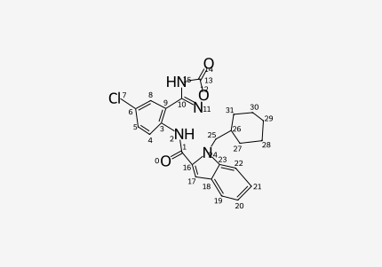 O=C(Nc1ccc(Cl)cc1-c1noc(=O)[nH]1)c1cc2ccccc2n1CC1CCCCC1